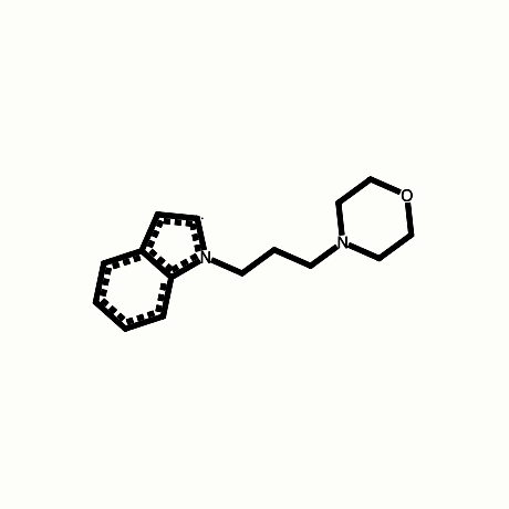 [c]1cc2ccccc2n1CCCN1CCOCC1